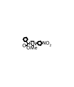 COC(=O)C(c1ccccc1)N1CCN(c2ccc([N+](=O)[O-])cc2)CC1